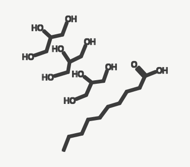 CCCCCCCCCC(=O)O.OCC(O)CO.OCC(O)CO.OCC(O)CO